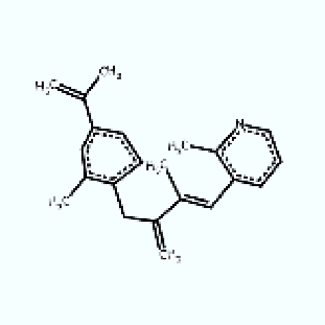 C=C(Cc1ccc(C(=C)C)cc1C)/C(C)=C/c1cccnc1C